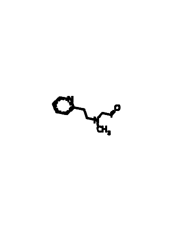 CN(C[C]=O)CCc1ccccn1